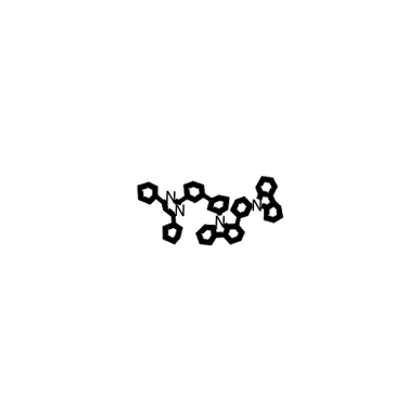 c1ccc(-c2cc(-c3ccccc3)nc(-c3cccc(-c4cccc(-n5c6ccccc6c6cccc(-c7cccc(-n8c9ccccc9c9ccccc98)c7)c65)c4)c3)n2)cc1